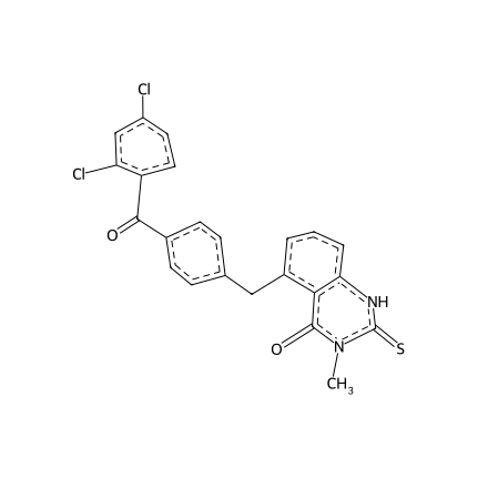 Cn1c(=S)[nH]c2cccc(Cc3ccc(C(=O)c4ccc(Cl)cc4Cl)cc3)c2c1=O